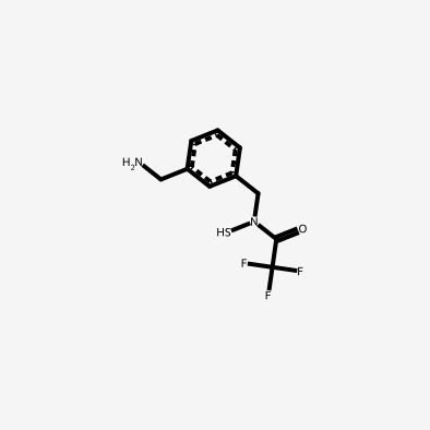 NCc1cccc(CN(S)C(=O)C(F)(F)F)c1